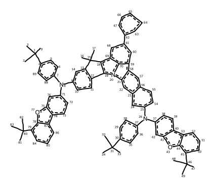 CC(C)(C)c1ccc(N(c2ccc3c(c2)C(C)(C)c2c-3n3c4cc5cc(N(c6ccc(C(C)(C)C)cc6)c6ccc7c(c6)oc6c(C(C)(C)C)cccc67)ccc5cc4c4cc(-c5ccccc5)cc2c43)c2ccc3c(c2)oc2c(C(C)(C)C)cccc23)cc1